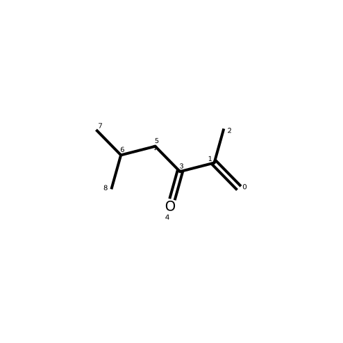 C=C(C)C(=O)[CH]C(C)C